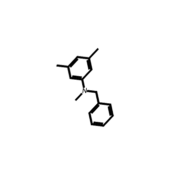 Cc1cc(C)cc(N(C)Cc2ccccc2)c1